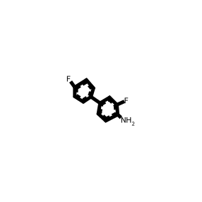 Nc1ccc(-c2ccc(F)cc2)[c]c1F